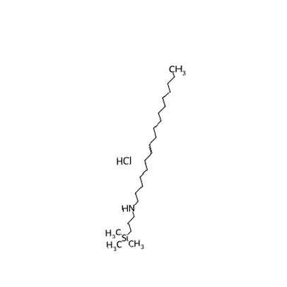 CCCCCCCCCCCCCCCCCCNCCC[Si](C)(C)C.Cl